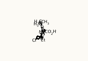 CCn1nc(-c2cnc3c(n2)c(C(=O)O)cn3COCC[Si](C)(C)C)c2ccc(Cl)cc21